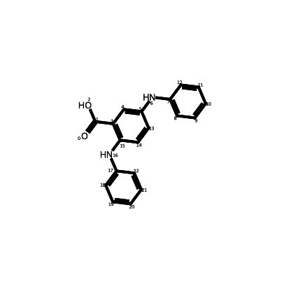 O=C(O)c1cc(Nc2ccccc2)ccc1Nc1ccccc1